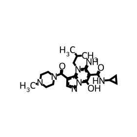 CC(C)Cn1c(=N)c(C(=O)NC2CC2)c(O)n2ncc(C(=O)N3CCN(C)CC3)c12